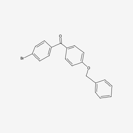 O=C(c1ccc(Br)cc1)c1ccc(OCc2ccccc2)cc1